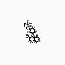 O=c1cnc2ccccc2n1-c1cccc(OC(F)(F)F)c1